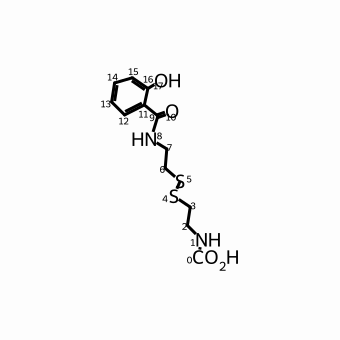 O=C(O)NCCSSCCNC(=O)c1ccccc1O